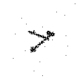 C=CCOC(=O)COCCOCCOCCN(CCOCCOCCOCCNC(=O)OC(C)(C)C)C(=O)OCC1c2ccccc2-c2ccccc21